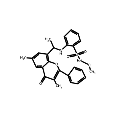 CONS(=O)(=O)c1ccccc1NC(C)c1cc(C)cc2c(=O)c(C)c(-c3ccccc3)oc12